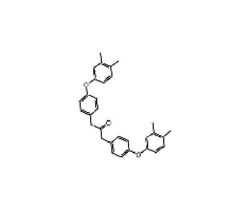 Cc1ccc(Oc2ccc(CC(=O)Cc3ccc(Oc4ccc(C)c(C)c4)cc3)cc2)cc1C